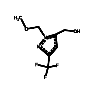 COCn1nc(C(F)(F)F)cc1CO